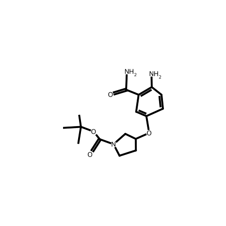 CC(C)(C)OC(=O)N1CCC(Oc2ccc(N)c(C(N)=O)c2)C1